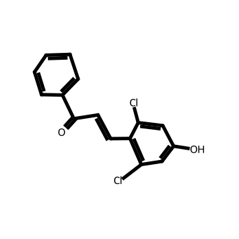 O=C(/C=C/c1c(Cl)cc(O)cc1Cl)c1ccccc1